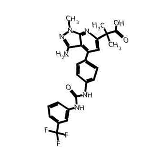 Cn1nc(N)c2c(-c3ccc(NC(=O)Nc4cccc(C(F)(F)F)c4)cc3)cc(C(C)(C)C(=O)O)nc21